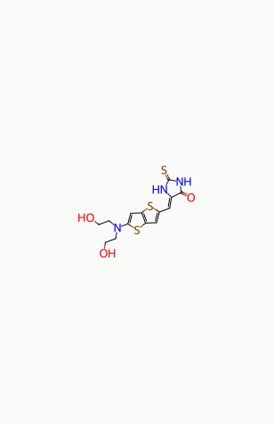 O=C1NC(=S)N/C1=C\c1cc2sc(N(CCO)CCO)cc2s1